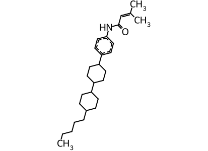 CCCCCC1CCC(C2CCC(c3ccc(NC(=O)C=C(C)C)cc3)CC2)CC1